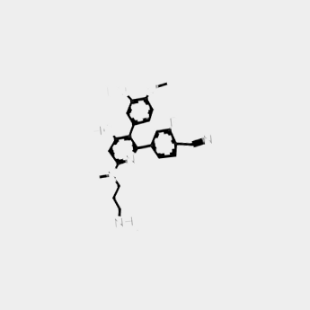 COc1ccc(-c2c(O)cc(N(C)CCCN)nc2-c2ccc(C#N)c(F)c2)cc1O